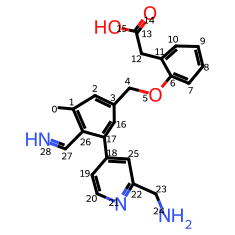 Cc1cc(COc2ccccc2CC(=O)O)cc(-c2ccnc(CN)c2)c1C=N